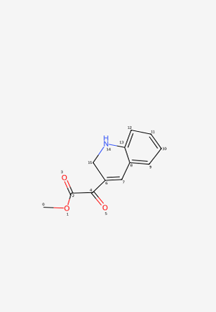 COC(=O)C(=O)C1=Cc2ccccc2NC1